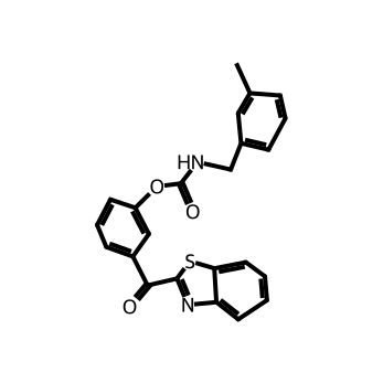 Cc1cccc(CNC(=O)Oc2cccc(C(=O)c3nc4ccccc4s3)c2)c1